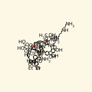 CC[C@H](CC(C)C)C(=O)N[C@H]1C(=O)C[C@@H](CC(N)=O)C(=O)N[C@H]2C(=O)C[C@H]3C(=O)N[C@H](C(=O)N[C@H](C(=O)CCCCNCCCCNCCCN)c4cc(O)cc5c4-c4cc3ccc4C5(O)O)[C@H](O[C@H]3C[C@](C)(N)[C@@H](O)[C@H](C)O3)c3ccc(c(Cl)c3)Oc3cc2cc(c3O[C@@H]2O[C@H](CO)[C@@H](O)[C@H](O)[C@H]2O[C@H]2C[C@](C)(NCc3ccc(-c4ccc(Cl)cc4)cc3)[C@@H](O)[C@H](C)O2)Oc2ccc(cc2Cl)[C@H]1O